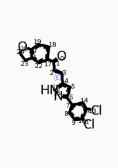 O=C(/C=C/c1cc(-c2ccc(Cl)c(Cl)c2)n[nH]1)c1ccc2c(c1)CCO2